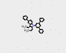 C=Cc1c(/C=C\C)n(-c2cc(-c3ccccc3)cc(-c3ccccc3)c2)c2ccc(-c3ccccc3)cc12